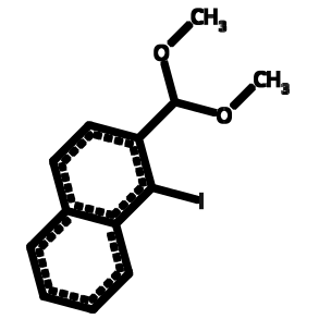 COC(OC)c1ccc2ccccc2c1I